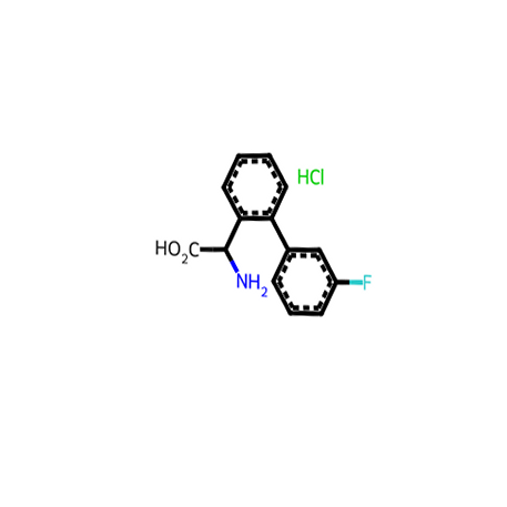 Cl.NC(C(=O)O)c1ccccc1-c1cccc(F)c1